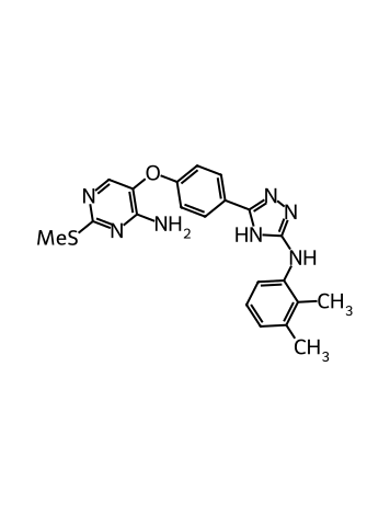 CSc1ncc(Oc2ccc(-c3nnc(Nc4cccc(C)c4C)[nH]3)cc2)c(N)n1